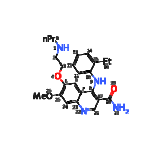 CCCNCCOc1cc2c(Nc3ccccc3CC)c(C(N)=O)cnc2cc1OC